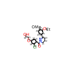 CCOc1cc(C2=NN(C(=O)c3ccc(OCCO)cc3Cl)CCC2)ccc1OC